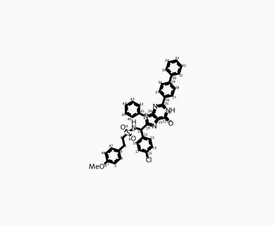 COc1ccc(CCS(=O)(=O)NC(c2ccc(Cl)cc2)c2nc3c(=O)[nH]c(-c4ccc(-c5ccccc5)cc4)nc3n2-c2ccccc2)cc1